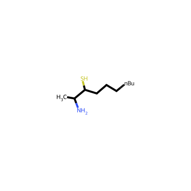 CCCCCCCC(S)C(C)N